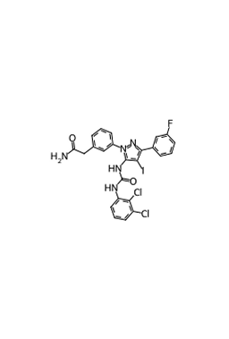 NC(=O)Cc1cccc(-n2nc(-c3cccc(F)c3)c(I)c2NC(=O)Nc2cccc(Cl)c2Cl)c1